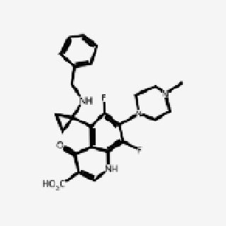 CN1CCN(c2c(F)c(C3(NCc4ccccc4)CC3)c3c(=O)c(C(=O)O)c[nH]c3c2F)CC1